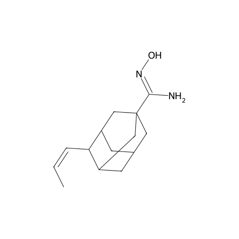 C/C=C\C1C2CC3CC1CC(/C(N)=N/O)(C3)C2